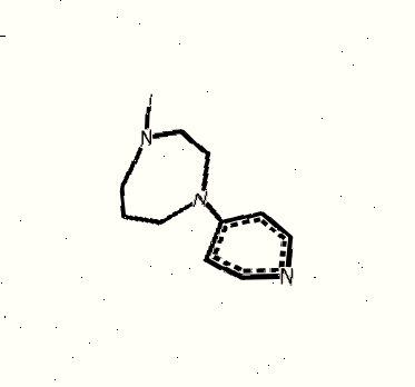 IN1CCCN(c2ccncc2)CC1